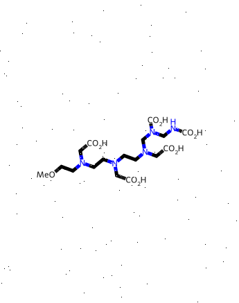 COCCN(CCN(CCN(CC(=O)O)CN(CNC(=O)O)C(=O)O)CC(=O)O)CC(=O)O